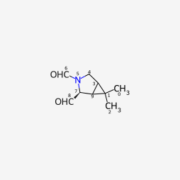 CC1(C)C2CN(C=O)[C@H](C=O)C21